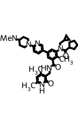 CNC1CCN(c2ccc(-c3cc(C(=O)NCc4c(C)cc(C)[nH]c4=O)c(C)c(N(CC4CC4)C(=O)C4CCCC4)c3)cn2)CC1